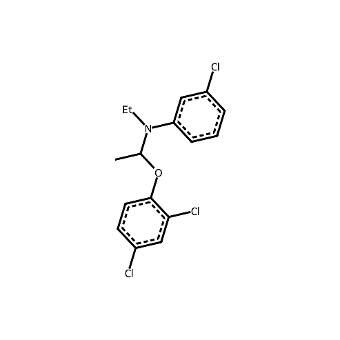 CCN(c1cccc(Cl)c1)C(C)Oc1ccc(Cl)cc1Cl